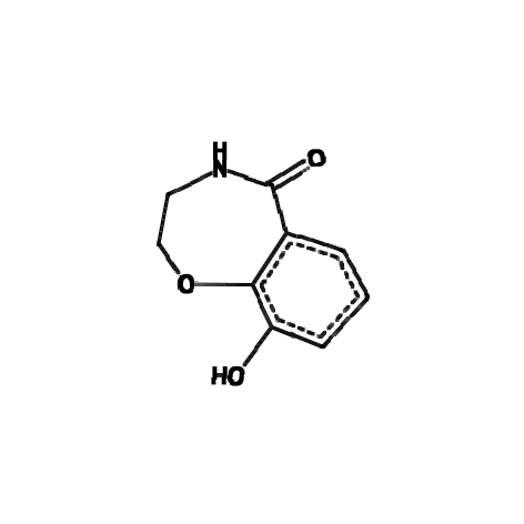 O=C1NCCOc2c(O)cccc21